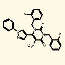 O=c1c([N+](=O)[O-])c(-c2cnn(-c3ccccc3)c2)n(Cc2ccccc2F)c(=O)n1Cc1ccccc1F